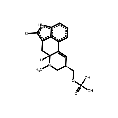 CN1C[C@H](COP(=O)(O)O)C=C2c3cccc4[nH]c(Cl)c(c34)C[C@H]21